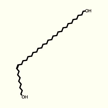 OCCCCCCCC/C=C\CCCCCCCCCCCCCCCCCCCCCCCCCCO